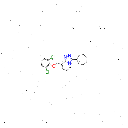 Clc1cccc(Cl)c1OCc1cccn2c(C3CCCCCC3)nnc12